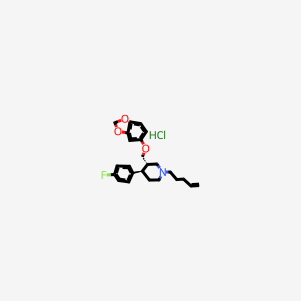 C=CCCCN1CC[C@@H](c2ccc(F)cc2)[C@H](COc2ccc3c(c2)OCO3)C1.Cl